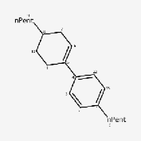 CCCCCc1ccc(C2=CCC(CCCCC)CC2)cc1